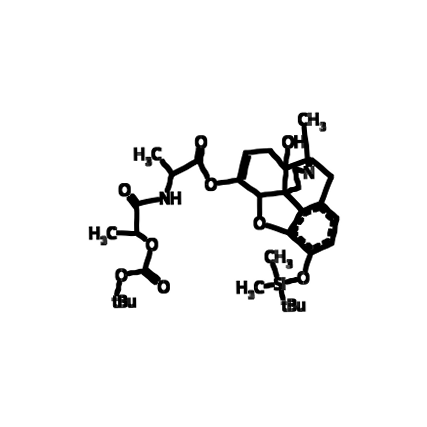 CC(NC(=O)C(C)OC(=O)OC(C)(C)C)C(=O)OC1=CCC2(O)C3Cc4ccc(O[Si](C)(C)C(C)(C)C)c5c4C2(CCN3C)C1O5